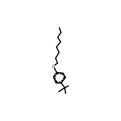 CCCCCCCCOc1ccc(C(C)(C)C)cc1